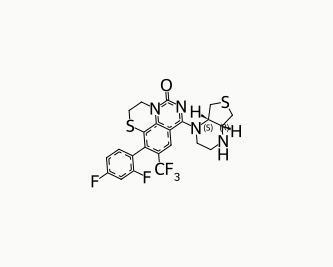 O=c1nc(N2CCN[C@H]3CSC[C@H]32)c2cc(C(F)(F)F)c(-c3ccc(F)cc3F)c3c2n1CCS3